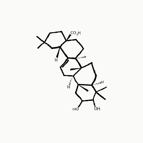 CC1(C)CC[C@]2(C(=O)O)CC[C@]3(C)C(=CC[C@@H]4[C@@]5(C)CC(O)C(O)C(C)(C)[C@@H]5CC[C@]43C)[C@@H]2C1